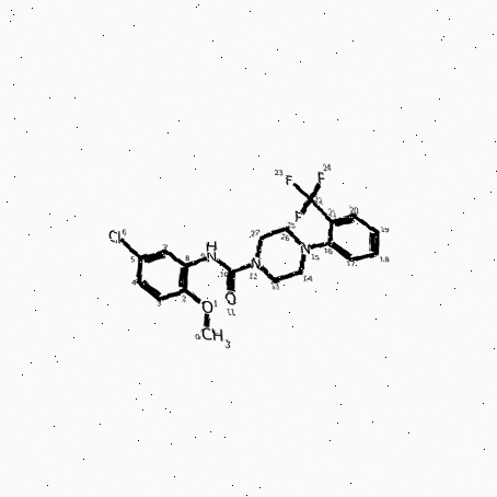 COc1ccc(Cl)cc1NC(=O)N1CCN(c2ccccc2C(F)(F)F)CC1